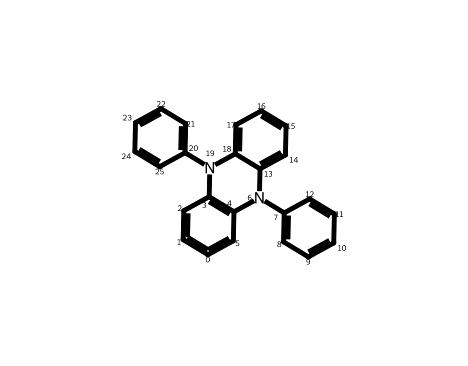 C1=C=CC2=C(C=1)N(c1ccccc1)c1ccccc1N2c1ccccc1